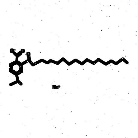 CCCCCCCCCCCCCCCCCC(=O)c1cc(C(C)C)ccc1C(=O)[O-].[Na+]